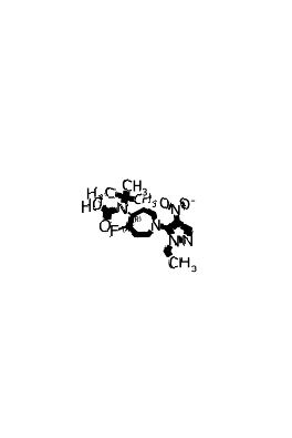 CCn1ncc([N+](=O)[O-])c1N1CC[C@@H](F)[C@H](N(C(=O)O)C(C)(C)C)CC1